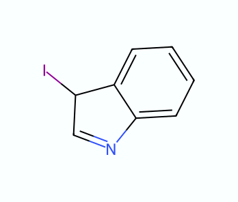 IC1C=Nc2ccccc21